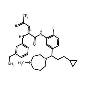 CN1CCCN(C(CCC2CC2)c2ccc(F)c(NC(=O)/C(=C/C(=N)C(F)(F)F)Nc3cccc(CN)c3)c2)CC1